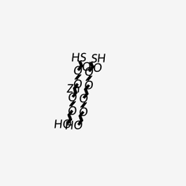 O=C(CS)OCCOCCOCCOCCO.O=C(CS)OCCOCCOCCOCCO.[Zn]